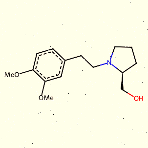 COc1ccc(CCN2CCC[C@H]2CO)cc1OC